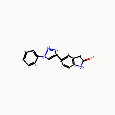 O=C1Cc2cc(-c3cn(-c4ccccc4)nn3)ccc2N1